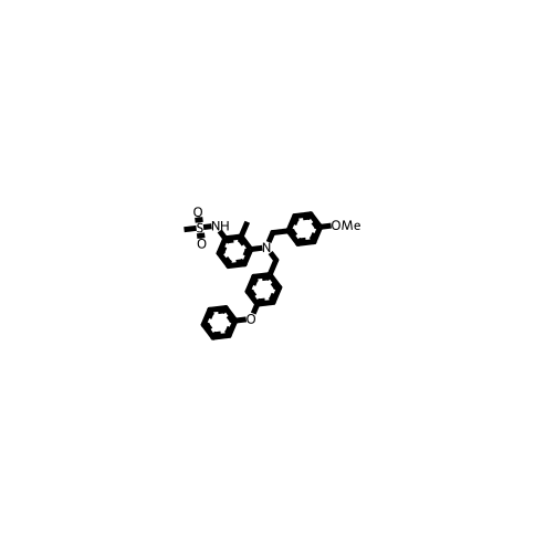 COc1ccc(CN(Cc2ccc(Oc3ccccc3)cc2)c2cccc(NS(C)(=O)=O)c2C)cc1